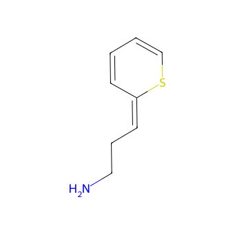 NCCC=C1C=CC=CS1